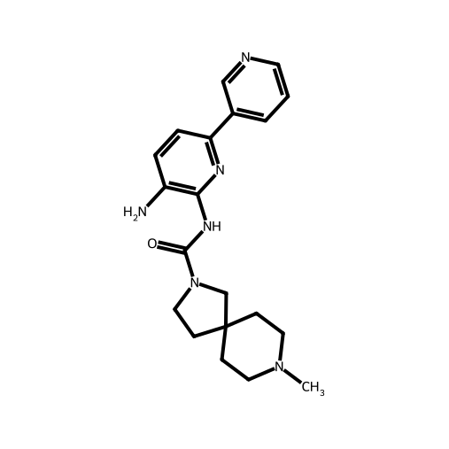 CN1CCC2(CC1)CCN(C(=O)Nc1nc(-c3cccnc3)ccc1N)C2